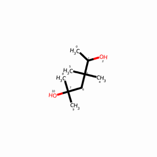 CC(O)C(C)(C)CC(C)(C)O